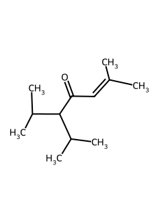 CC(C)=CC(=O)C(C(C)C)C(C)C